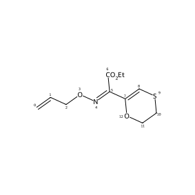 C=CCON=C(C(=O)OCC)C1=CSCCO1